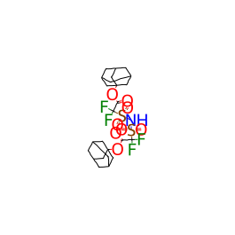 O=C(OC12CC3CC(CC(C3)C1)C2)C(F)(F)S(=O)(=O)NS(=O)(=O)C(F)(F)C(=O)OC12CC3CC(CC(C3)C1)C2